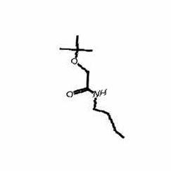 CCCCNC(=O)COC(C)(C)C